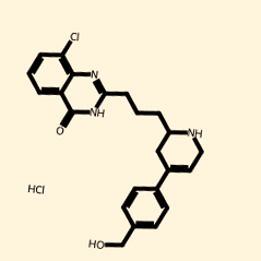 Cl.O=c1[nH]c(CCCC2CC(c3ccc(CO)cc3)=CCN2)nc2c(Cl)cccc12